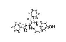 O=C(Nc1nc2ccc3cc(O)ccc3c2nc1Cc1ccccc1)c1ccccc1